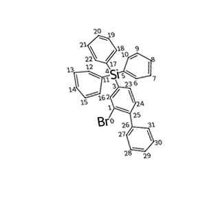 Brc1cc([Si](c2ccccc2)(c2ccccc2)c2ccccc2)ccc1-c1ccccc1